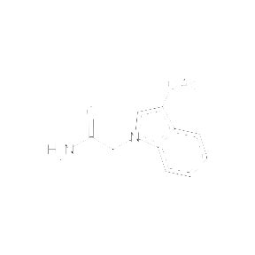 CC(=O)Oc1cn(CC(N)=O)c2ccccc12